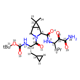 CCCC(NC(=O)C1C2C(CN1C(=O)[C@H](CC1CC1)NC(=O)OC(C)(C)C)C2(C)C)C(=O)C(N)=O